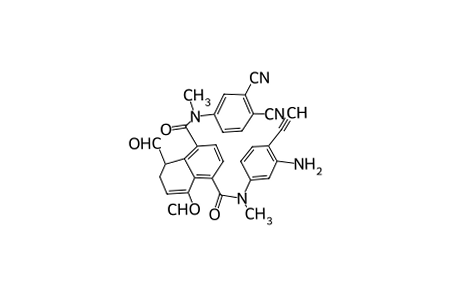 C#Cc1ccc(N(C)C(=O)c2ccc(C(=O)N(C)c3ccc(C#N)c(C#N)c3)c3c2C(C=O)=CCC3C=O)cc1N